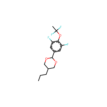 CCCC1COC(c2cc(F)c(OC(C)(F)F)c(F)c2)OC1